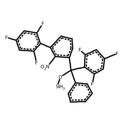 O=[N+]([O-])c1c(-c2c(F)cc(F)cc2F)cccc1C(O[SiH3])(c1ccccc1)c1c(F)cc(F)cc1F